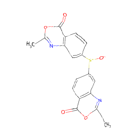 Cc1nc2cc([S+]([O-])c3ccc4c(=O)oc(C)nc4c3)ccc2c(=O)o1